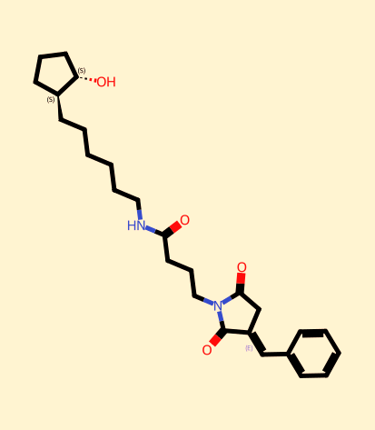 O=C(CCCN1C(=O)C/C(=C\c2ccccc2)C1=O)NCCCCCC[C@H]1CCC[C@@H]1O